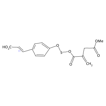 C=C(CC(=O)OC)C(=O)OSOc1ccc(/C=C/C(=O)O)cc1